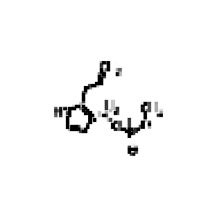 C=CCc1[nH]cc[n+]1C.CO[PH](=O)[O-]